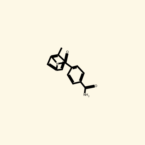 Cc1ccc2cc1N2C(=O)c1ccc(C(N)=O)cc1